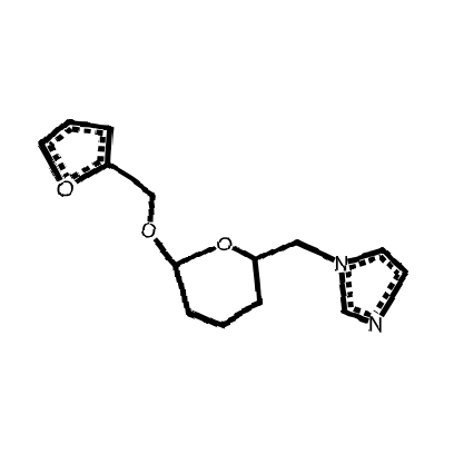 c1coc(COC2CCCC(Cn3ccnc3)O2)c1